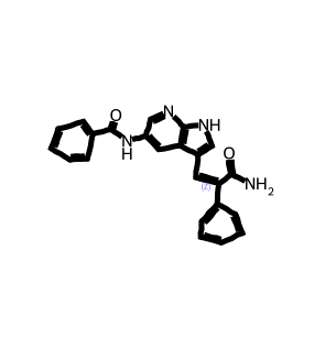 NC(=O)/C(=C\c1c[nH]c2ncc(NC(=O)c3ccccc3)cc12)c1ccccc1